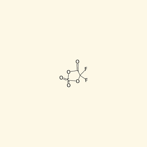 O=C1OS(=O)(=O)OC1(F)F